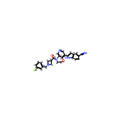 N#Cc1ccc2[nH]c(-c3cncc4c3OCCN4C(=O)C3CN(Cc4cccc(F)c4)C3)cc2c1